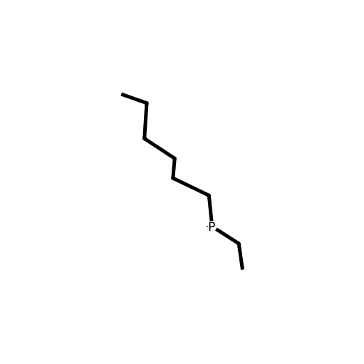 CCCCCC[P]CC